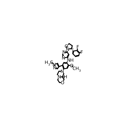 COc1cc(N2CCN3CCOC[C@@H]3C2)c(-c2cnn(C)c2)cc1Nc1cc(N2OCC[C@@H]2c2cccc(F)c2F)ncn1